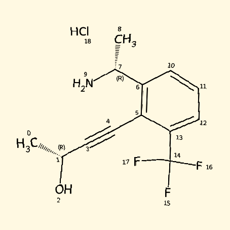 C[C@@H](O)C#Cc1c([C@@H](C)N)cccc1C(F)(F)F.Cl